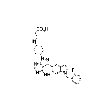 Nc1ncnc2c1c(-c1ccc3c(ccn3Cc3ccccc3F)c1)nn2C1CCC(NCCC(=O)O)CC1